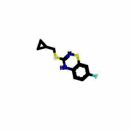 Fc1ccc2c(c1)SN=C(SCC1CC1)N2